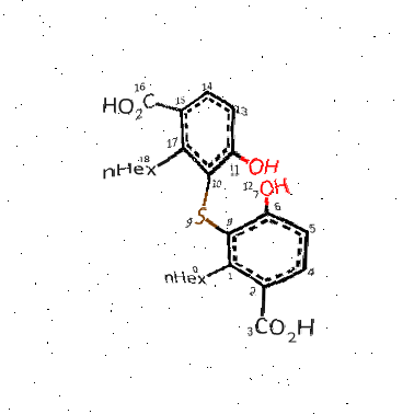 CCCCCCc1c(C(=O)O)ccc(O)c1Sc1c(O)ccc(C(=O)O)c1CCCCCC